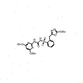 COc1cc(OC)nc(NC(=O)NS(=O)(=O)c2ccccc2Cc2nnc(SC)o2)n1